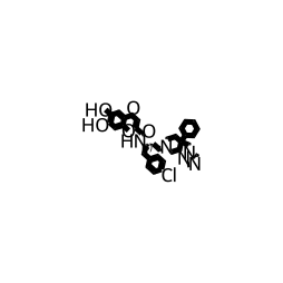 O=C(N[C@H](CCN1CCC(Cn2cncn2)(C2CCCCC2)CC1)Cc1ccc(Cl)cc1)c1cc(=O)c2cc(O)c(O)cc2o1